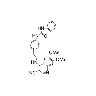 COc1cc2ncc(C#N)c(NCCc3ccc(NC(=O)Nc4ccccc4)cc3)c2cc1OC